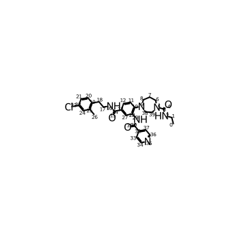 CCNC(=O)N1CCCN(c2ccc(C(=O)NCCc3ccc(Cl)cc3C)cc2NC(=O)c2ccncc2)CC1